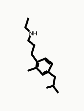 CCNCCCc1ccc(CC(C)C)cc1C